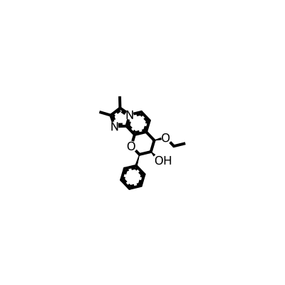 CCO[C@@H]1c2ccn3c(C)c(C)nc3c2O[C@H](c2ccccc2)[C@@H]1O